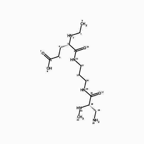 CCN[C@@H](CCC(=O)O)C(=O)NCCCNC(=O)[C@H](CN)NC